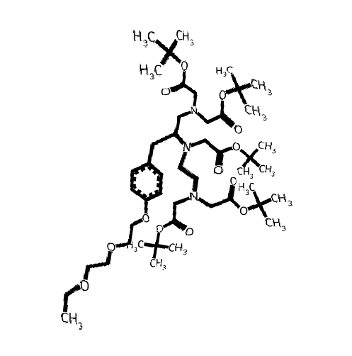 CCOCCOCCOc1ccc(CC(CN(CC(=O)OC(C)(C)C)CC(=O)OC(C)(C)C)N(CCN(CC(=O)OC(C)(C)C)CC(=O)OC(C)(C)C)CC(=O)OC(C)(C)C)cc1